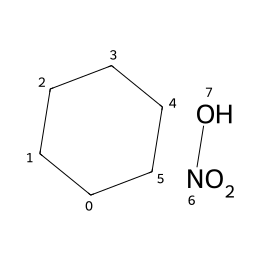 C1CCCCC1.O=[N+]([O-])O